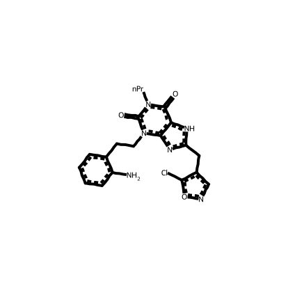 CCCn1c(=O)c2[nH]c(Cc3cnoc3Cl)nc2n(CCc2ccccc2N)c1=O